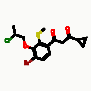 CSc1c(C(=O)CC(=O)C2CC2)ccc(Br)c1OCC(C)Cl